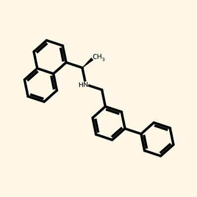 C[C@@H](NCc1cccc(-c2ccccc2)c1)c1cccc2ccccc12